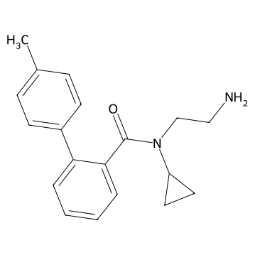 Cc1ccc(-c2ccccc2C(=O)N(CCN)C2CC2)cc1